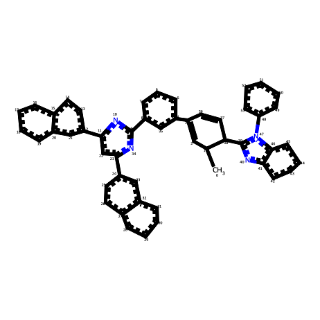 CC1C=C(c2cccc(-c3nc(-c4ccc5ccccc5c4)cc(-c4ccc5ccccc5c4)n3)c2)C=CC1c1nc2ccccc2n1-c1ccccc1